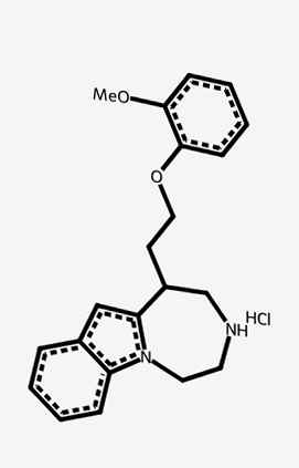 COc1ccccc1OCCC1CNCCn2c1cc1ccccc12.Cl